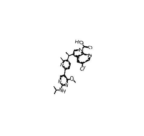 COc1nc(NC(C)C)ncc1-c1ccc(C(C)c2cn(C(=O)O)c3ncc(Cl)cc23)c(C)n1